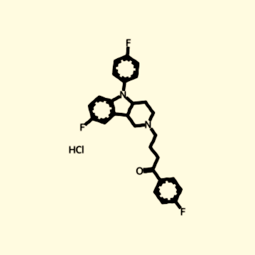 Cl.O=C(CCCN1CCC2C(C1)c1cc(F)ccc1N2c1ccc(F)cc1)c1ccc(F)cc1